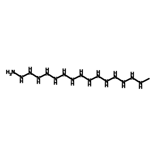 CNNNNNNNNNNNNNNNN